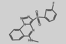 CNc1nc2c(S(=O)(=O)c3cccc(F)c3)nnn2c2ccccc12